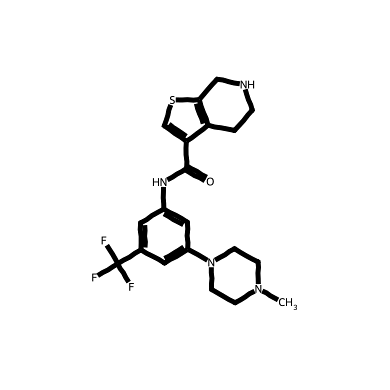 CN1CCN(c2cc(NC(=O)c3csc4c3CCNC4)cc(C(F)(F)F)c2)CC1